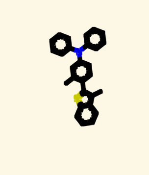 Cc1cc(N(c2ccccc2)c2ccccc2)ccc1-c1sc2ccccc2c1C